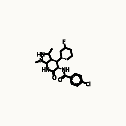 CC1NN(C)C2NC(=O)[C@@H](NC(=O)c3ccc(Cl)cc3)[C@H]([C@H]3CCCC(F)C3)C12